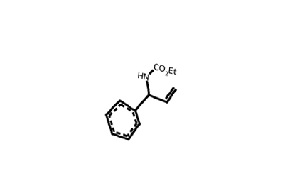 C=CC(NC(=O)OCC)c1ccccc1